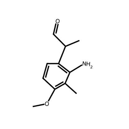 COc1ccc(C(C)C=O)c(N)c1C